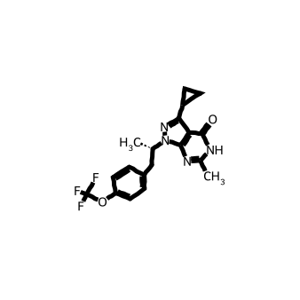 Cc1nc2c(c(C3CC3)nn2[C@@H](C)Cc2ccc(OC(F)(F)F)cc2)c(=O)[nH]1